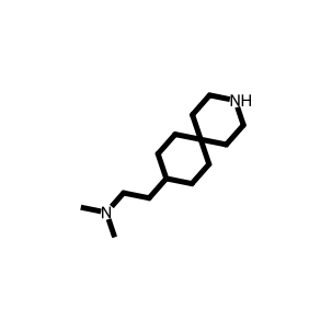 CN(C)CCC1CCC2(CCNCC2)CC1